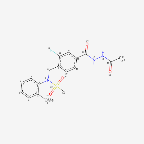 COc1ccccc1N(Cc1ccc(C(=O)NNC(=O)C(F)(F)F)cc1F)S(C)(=O)=O